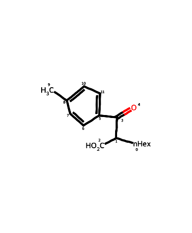 CCCCCCC(C(=O)O)C(=O)c1ccc(C)cc1